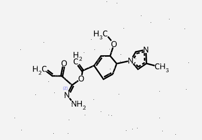 C=CC(=O)/C(=N/N)OC(=C)C1=CC(OC)C(n2cnc(C)c2)C=C1